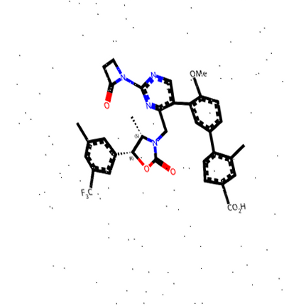 COc1ccc(-c2ccc(C(=O)O)cc2C)cc1-c1cnc(N2CCC2=O)nc1CN1C(=O)O[C@H](c2cc(C)cc(C(F)(F)F)c2)[C@@H]1C